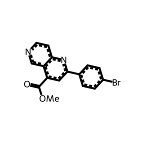 COC(=O)c1cc(-c2ccc(Br)cc2)nc2ccncc12